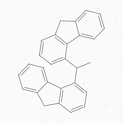 CC(c1cccc2c1-c1ccccc1C2)c1cccc2c1-c1ccccc1C2